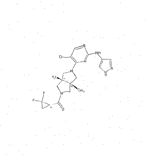 C[C@@]12CN(C(=O)[C@@H]3CC3(F)F)C[C@]1(C)CN(c1nc(Nc3cn[nH]c3)ncc1Cl)C2